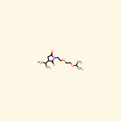 CC(C)OCCOCCN1C(=O)CC(C(C)C)C1=O